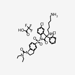 CCN(CC)C(=O)N1CCc2cc(S(=O)(=O)N3C(=O)C(NCCCCCN)(c4ccccc4Cl)c4cc(Cl)ccc43)ccc21.O=C(O)C(F)(F)F